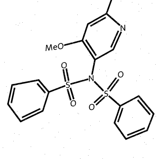 COc1cc(Cl)ncc1N(S(=O)(=O)c1ccccc1)S(=O)(=O)c1ccccc1